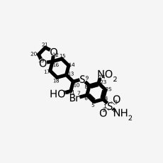 NS(=O)(=O)c1cc(Br)c(SC(CO)C2CCC3(CC2)OCCO3)c([N+](=O)[O-])c1